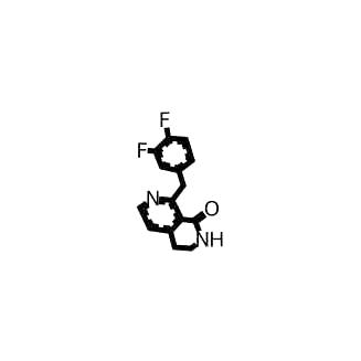 O=C1NCCc2ccnc(Cc3ccc(F)c(F)c3)c21